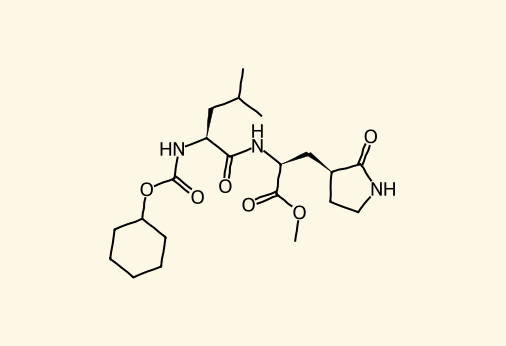 COC(=O)[C@H](C[C@@H]1CCNC1=O)NC(=O)[C@H](CC(C)C)NC(=O)OC1CCCCC1